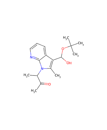 CC(=O)C(C)n1c(C)c(C(O)OC(C)(C)C)c2cccnc21